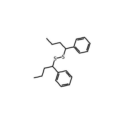 CCCC(SSC(CCC)c1ccccc1)c1ccccc1